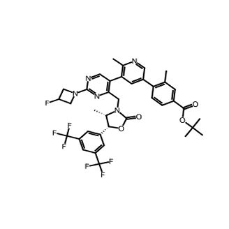 Cc1cc(C(=O)OC(C)(C)C)ccc1-c1cnc(C)c(-c2cnc(N3CC(F)C3)nc2CN2C(=O)O[C@H](c3cc(C(F)(F)F)cc(C(F)(F)F)c3)[C@@H]2C)c1